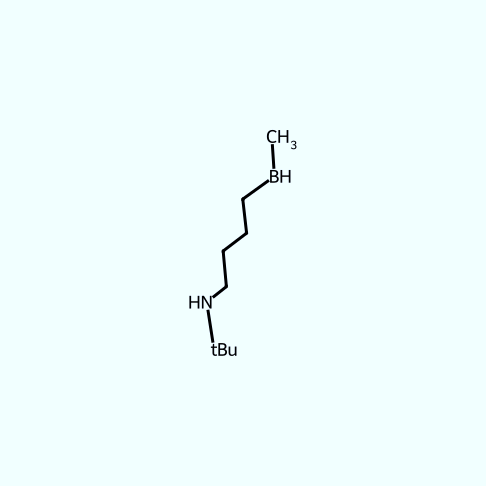 CBCCCCNC(C)(C)C